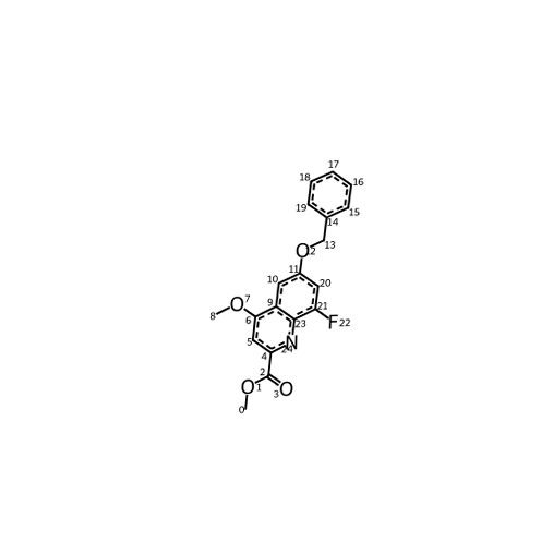 COC(=O)c1cc(OC)c2cc(OCc3ccccc3)cc(F)c2n1